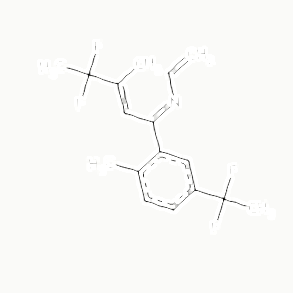 C=C/N=C(\C=C(/C)C(C)(F)F)c1cc(C(C)(F)F)ccc1C